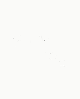 COC(=O)c1ccc(OCCN2C(=O)CCCN2CCC(O)Cc2cccc(C(F)(F)F)c2)cc1